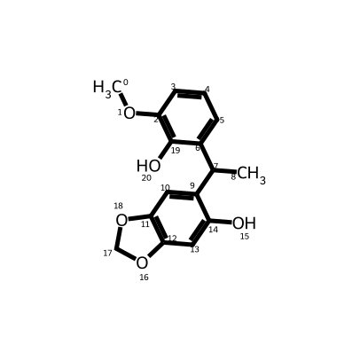 COc1cccc(C(C)c2cc3c(cc2O)OCO3)c1O